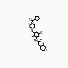 Cc1c(CN2CCN(C(=O)C3CCCC3)[C@@H](C)C2)cc(Cl)cc1NC(=O)CC1CCOCC1C